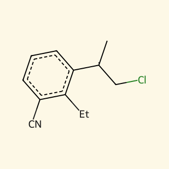 CCc1c(C#N)cccc1[C](C)CCl